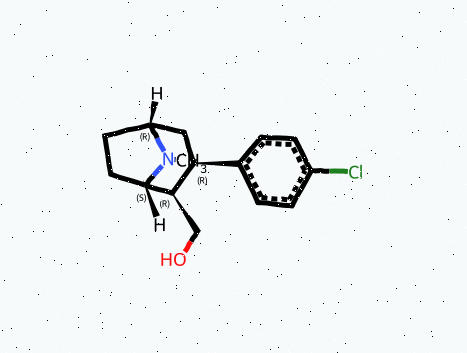 CN1[C@@H]2CC[C@H]1[C@H](CO)[C@H](c1ccc(Cl)cc1)C2